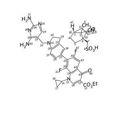 CC1(C)[C@@H]2CC[C@@]1(CS(=O)(=O)O)C(=O)C2.CCOC(=O)c1cn(C2CC2)c2c(F)c(-c3ccc4c(c3)CCN4Cc3cnc(N)nc3N)c(F)cc2c1=O